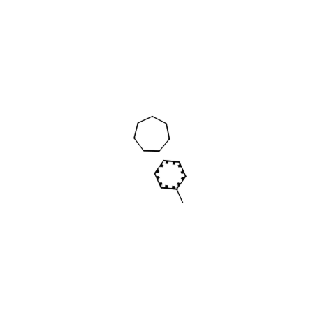 C1CCCCCC1.Cc1ccccc1